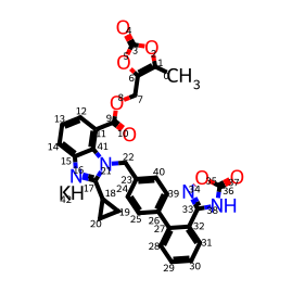 Cc1oc(=O)oc1COC(=O)c1cccc2nc(C3CC3)n(Cc3ccc(-c4ccccc4-c4noc(=O)[nH]4)cc3)c12.[KH]